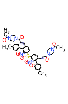 CC(=O)N1CCN(C(=O)/C=C/c2ccc(Sc3ccc(/C=C/C(=O)N4CCN(C(C)=O)CC4)c(-c4ccc(C)cc4)c3[N+](=O)[O-])c([N+](=O)[O-])c2-c2ccc(C)cc2)CC1